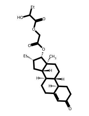 CCC(O)C(=O)OCC(=O)O[C@H]1[C@@H](CC)C[C@H]2[C@@H]3CCC4=CC(=O)CC[C@@H]4[C@H]3CC[C@@]21C